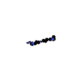 C/C=C\C=C/C1=C(C)N(c2ccc3c(c2)C(C)(C)c2cc(/C=C/c4ccc5c(c4)C(C)(C)c4cc(-c6ccc(N7c8ccccc8CCC7C)cc6)ccc4-5)ccc2-3)C(C)(C)C=C1